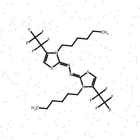 CCCCCCn1c(C(F)(F)C(F)(F)F)csc1=NN=c1scc(C(F)(F)C(F)(F)F)n1CCCCCC